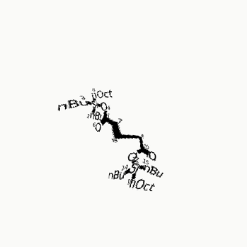 CCCCCCCC[Si](CCCC)(CCCC)OC(=O)CCCC(=O)O[Si](CCCC)(CCCC)CCCCCCCC